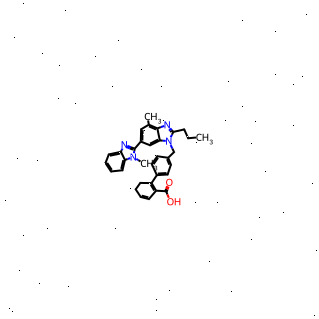 CCCc1nc2c(C)cc(-c3nc4ccccc4n3C)cc2n1Cc1ccc(C2=C(C(=O)O)C=CCC2)cc1